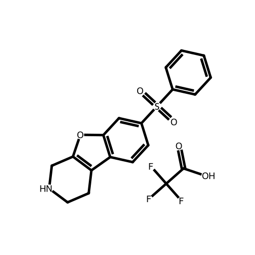 O=C(O)C(F)(F)F.O=S(=O)(c1ccccc1)c1ccc2c3c(oc2c1)CNCC3